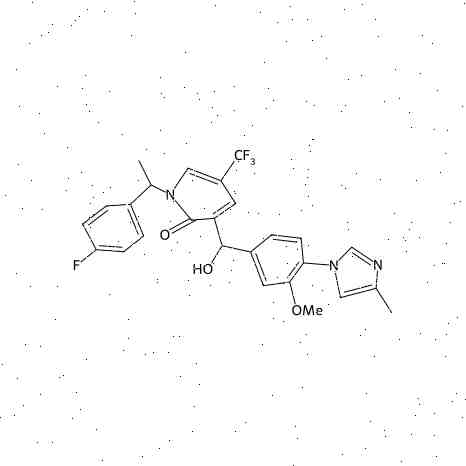 COc1cc(C(O)c2cc(C(F)(F)F)cn(C(C)c3ccc(F)cc3)c2=O)ccc1-n1cnc(C)c1